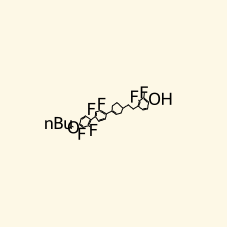 CCCCOc1ccc(-c2ccc(C3=CCC(CCc4ccc(O)c(F)c4F)CC3)c(F)c2F)c(F)c1F